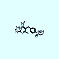 CCS(=N)(=O)c1ccc(Cc2c(C)nc3ncnn3c2N(C)C)cc1